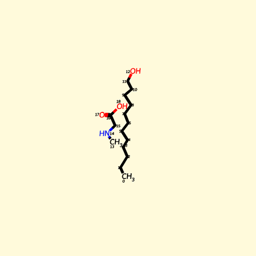 CCCCCCCCCCCCO.CNCC(=O)O